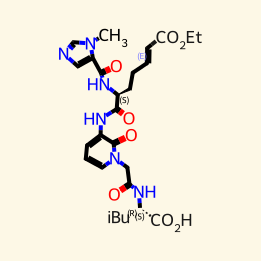 CCOC(=O)/C=C/CC[C@H](NC(=O)c1cncn1C)C(=O)Nc1cccn(CC(=O)N[C@H](C(=O)O)[C@H](C)CC)c1=O